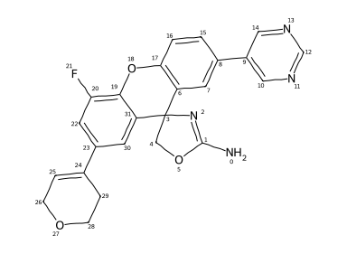 NC1=NC2(CO1)c1cc(-c3cncnc3)ccc1Oc1c(F)cc(C3=CCOCC3)cc12